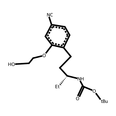 [C-]#[N+]c1ccc(CC[C@@H](CC)NC(=O)OC(C)(C)C)c(OCCO)c1